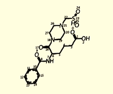 O=C(O)CCCC(NC(=O)c1ccccc1)C(=O)N1CCN(C[SH](=O)=O)CC1